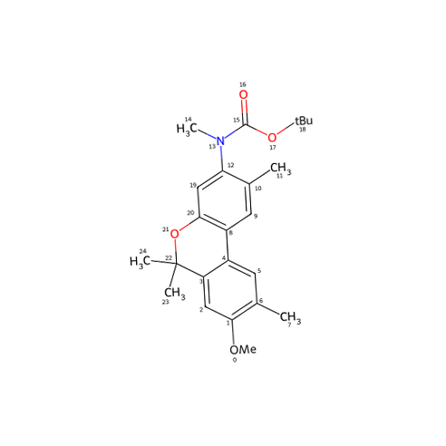 COc1cc2c(cc1C)-c1cc(C)c(N(C)C(=O)OC(C)(C)C)cc1OC2(C)C